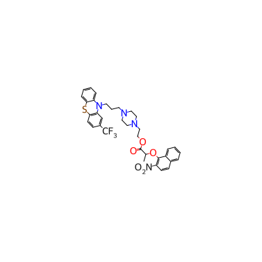 CC(Oc1c([N+](=O)[O-])ccc2ccccc12)C(=O)OCCN1CCN(CCCN2c3ccccc3Sc3ccc(C(F)(F)F)cc32)CC1